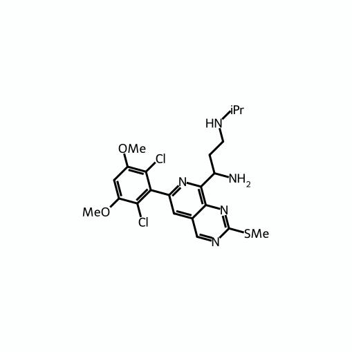 COc1cc(OC)c(Cl)c(-c2cc3cnc(SC)nc3c(C(N)CCNC(C)C)n2)c1Cl